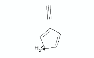 C#C.C1=C[SiH2]C=C1